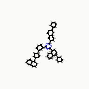 c1ccc(-c2ccc3cc(-c4nc(-c5cccc(-c6ccc(-c7cccc8ccccc78)cc6)c5)nc(-c5ccc(-c6ccccc6)c6ccccc56)n4)ccc3c2)cc1